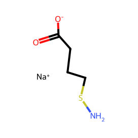 NSCCCC(=O)[O-].[Na+]